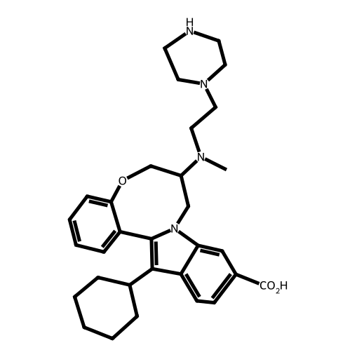 CN(CCN1CCNCC1)C1COc2ccccc2-c2c(C3CCCCC3)c3ccc(C(=O)O)cc3n2C1